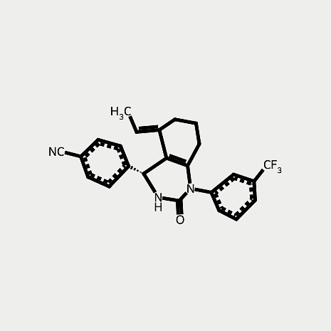 CC=C1CCCC2=C1[C@@H](c1ccc(C#N)cc1)NC(=O)N2c1cccc(C(F)(F)F)c1